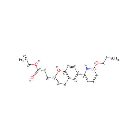 CCCOc1cccc(-c2ccc3c(c2)CCC(CCC(=O)OCC)O3)n1